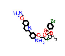 CC(OC(CF)COC1=CC(C2=NC3=CC=C(OCN)CC3CC2)=CCC1N)S(=O)(=O)c1ccc(Br)cc1